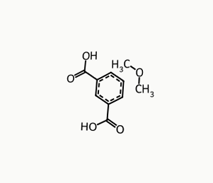 COC.O=C(O)c1cccc(C(=O)O)c1